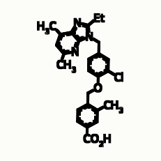 CCc1nc2c(C)cc(C)nc2n1Cc1ccc(OCc2ccc(C(=O)O)cc2C)c(Cl)c1